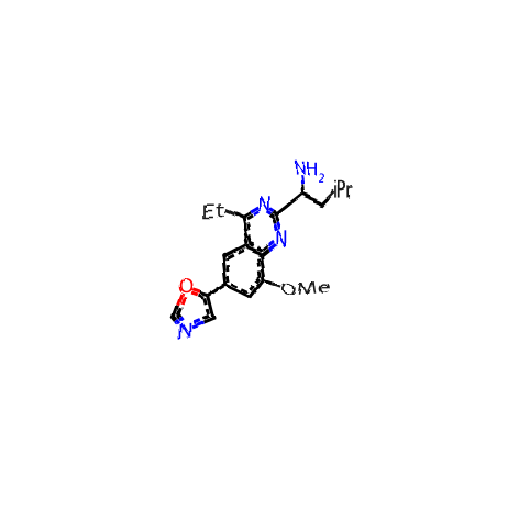 CCc1nc(C(N)CC(C)C)nc2c(OC)cc(-c3cnco3)cc12